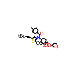 CC1=CC[C@H](C(=O)N(c2cc(C#CC(C)(C)C)sc2C(=O)O)C2CCC(O)(COC3CCOC3)CC2)CC1